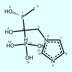 O[P@](I)C(O)(Cn1ccnc1)[PH](O)(O)O